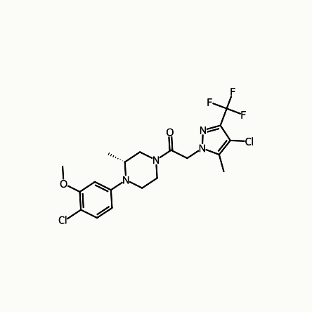 COc1cc(N2CCN(C(=O)Cn3nc(C(F)(F)F)c(Cl)c3C)C[C@H]2C)ccc1Cl